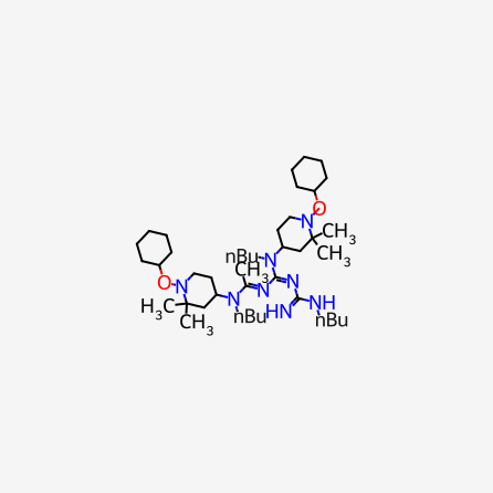 CCCCNC(=N)/N=C(\N=C(/C)N(CCCC)C1CCN(OC2CCCCC2)C(C)(C)C1)N(CCCC)C1CCN(OC2CCCCC2)C(C)(C)C1